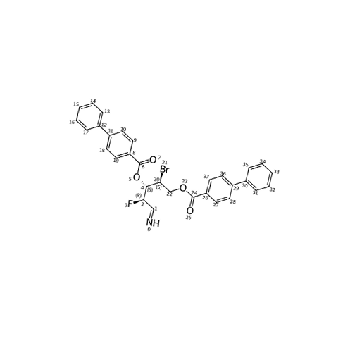 N=C[C@@H](F)[C@H](OC(=O)c1ccc(-c2ccccc2)cc1)[C@@H](Br)COC(=O)c1ccc(-c2ccccc2)cc1